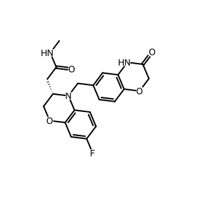 CNC(=O)C[C@H]1COc2cc(F)ccc2N1Cc1ccc2c(c1)NC(=O)CO2